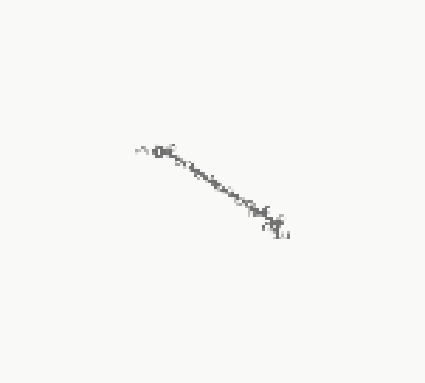 CC(C)(C)C1CCN(C(=O)CCOCCOCCOCCOCCOCCOCCOCCOCCNC(=O)CCN2C(=O)CC(C(C)(C)C)C2=O)CC1